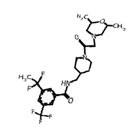 CC1CN(CC(=O)N2CCC(CNC(=O)c3cc(C(C)(F)F)cc(C(F)(F)F)c3)CC2)CC(C)O1